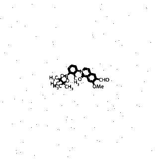 COc1cc2c(=O)n(-c3cccc(B4OC(C)(C)C(C)(C)O4)c3C)ccc2cc1C=O